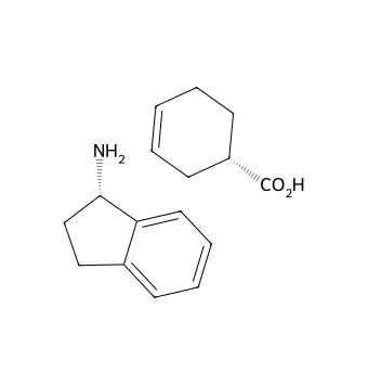 N[C@H]1CCc2ccccc21.O=C(O)[C@@H]1CC=CCC1